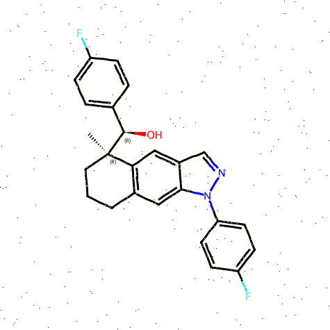 C[C@@]1([C@H](O)c2ccc(F)cc2)CCCc2cc3c(cnn3-c3ccc(F)cc3)cc21